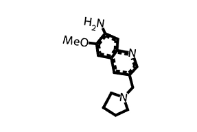 COc1cc2cc(CN3CCCC3)cnc2cc1N